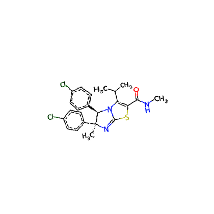 CNC(=O)C1=C(C(C)C)N2C(=N[C@@](C)(c3ccc(Cl)cc3)[C@H]2c2ccc(Cl)cc2)S1